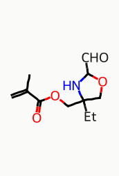 C=C(C)C(=O)OCC1(CC)COC(C=O)N1